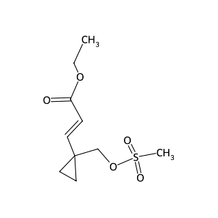 CCOC(=O)/C=C/C1(COS(C)(=O)=O)CC1